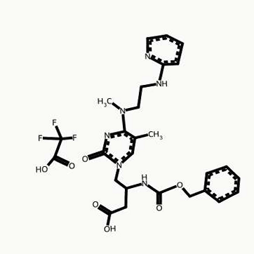 Cc1cn(CC(CC(=O)O)NC(=O)OCc2ccccc2)c(=O)nc1N(C)CCNc1ccccn1.O=C(O)C(F)(F)F